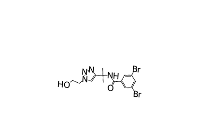 CC(C)(NC(=O)c1cc(Br)cc(Br)c1)c1cn(CCO)nn1